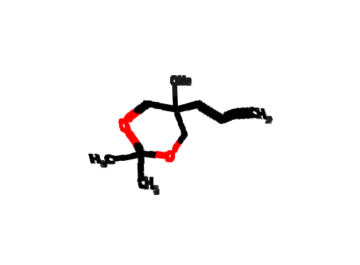 C=CCC1(OC)COC(C)(C)OC1